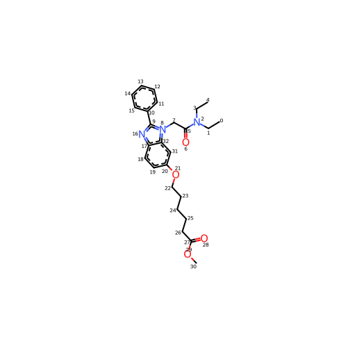 CCN(CC)C(=O)Cn1c(-c2ccccc2)nc2ccc(OCCCCCC(=O)OC)cc21